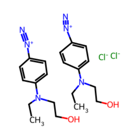 CCN(CCO)c1ccc([N+]#N)cc1.CCN(CCO)c1ccc([N+]#N)cc1.[Cl-].[Cl-]